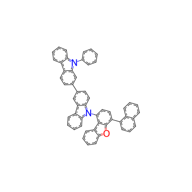 c1ccc(-n2c3ccccc3c3ccc(-c4ccc5c(c4)c4ccccc4n5-c4ccc(-c5cccc6ccccc56)c5oc6ccccc6c45)cc32)cc1